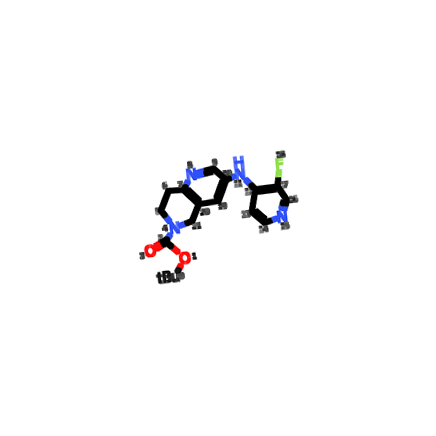 CC(C)(C)OC(=O)N1CCc2ncc(Nc3ccncc3F)cc2C1